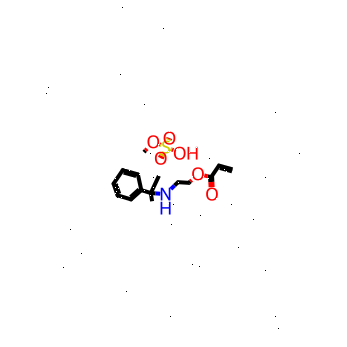 C=CC(=O)OCCNC(C)(C)c1ccccc1.COS(=O)(=O)O